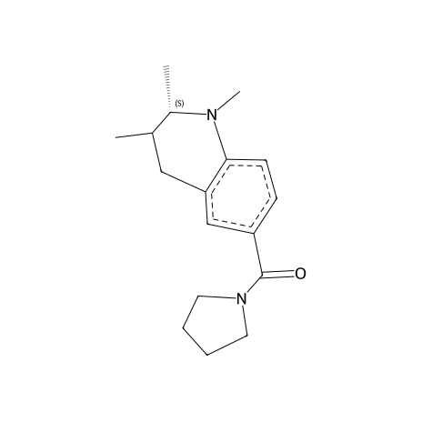 CC1Cc2cc(C(=O)N3CCCC3)ccc2N(C)[C@H]1C